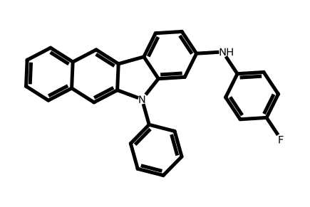 Fc1ccc(Nc2ccc3c4cc5ccccc5cc4n(-c4ccccc4)c3c2)cc1